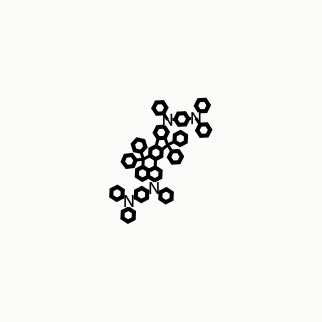 c1ccc(N(c2ccccc2)c2ccc(N(c3ccccc3)c3ccc4c(c3)C(c3ccccc3)(c3ccccc3)c3cc5c(cc3-4)C(c3ccccc3)(c3ccccc3)c3cccc4c(N(c6ccccc6)c6ccc(N(c7ccccc7)c7ccccc7)cc6)ccc-5c34)cc2)cc1